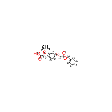 CCO[C@@H](Cc1ccc(OCC(=O)OCc2ccccc2)cc1)C(=O)O